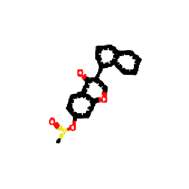 CS(=O)Oc1ccc2c(=O)c(-c3cccc4ccccc34)coc2c1